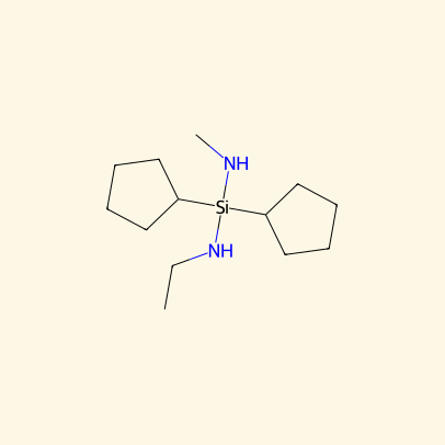 CCN[Si](NC)(C1CCCC1)C1CCCC1